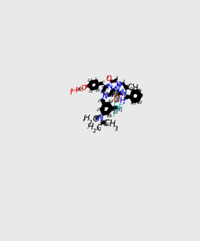 C=CCN1CC(=O)N2[C@@H](Cc3ccc(O)cc3)CN(Cc3cc(N(C)C(C)C)cc(C(F)(F)F)c3)C[C@@H]2N1C(=O)NCc1ccccc1